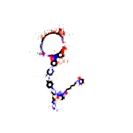 CO[C@H]1/C=C/O[C@@]2(C)Oc3c(C)c(O)c4c(=O)c(c5oc6cc(N7CCC([N+](C)(C)Cc8ccc(NC(=O)[C@H](CCCNC(N)=O)NC(=O)[C@@H](NC(=O)CCCCCN9C(=O)C=CC9=O)C(C)C)cc8)CC7)cc(O)c6nc-5c4c3C2=O)NC(=O)/C(C)=C\C=C\[C@H](C)[C@H](O)[C@@H](C)[C@@H](O)[C@@H](C)C(OC(C)=O)[C@@H]1C